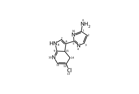 Nc1ccnc(C2=CNC3=NC=C(Cl)CC23)n1